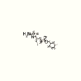 NC1=NC(C2CCCN(C(=O)OCc3ccccc3)C2)CS1